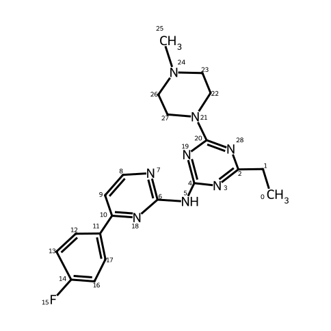 CCc1nc(Nc2nccc(-c3ccc(F)cc3)n2)nc(N2CCN(C)CC2)n1